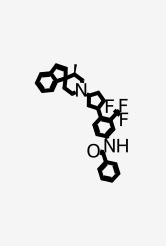 C[C@H]1CN(C2CCC(c3ccc(NC(=O)c4ccccc4)cc3C(F)(F)F)C2)CCC12C=Cc1ccccc12